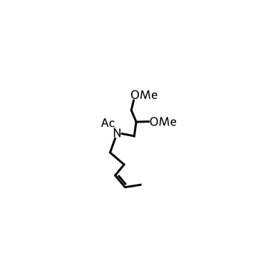 C/C=C\CCN(CC(COC)OC)C(C)=O